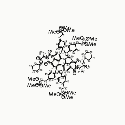 CO[Si](CCc1ccc(Oc2cc3c4c(cc(Oc5ccc(CC[Si](OC)(OC)OC)cc5)c5c6c(Oc7ccc(CC[Si](OC)(OC)OC)cc7)cc7c8c(cc(Oc9ccc(CC[Si](OC)(OC)OC)cc9)c(c2c45)c86)C(=O)N(C(C(=O)OC2CCCCC2)C(C)C)C7=O)C(=O)N(C(C(=O)OC2CCCCC2)C(C)C)C3=O)cc1)(OC)OC